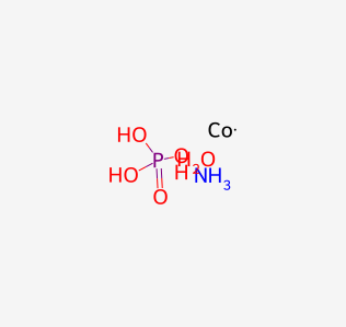 N.O.O=P(O)(O)O.[Co]